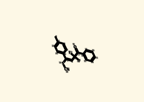 Cc1ccc(/C(=C\C(F)(F)C(=O)c2ccccc2)SC#N)cc1